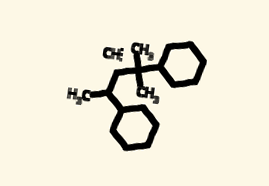 CC(CC(C)(C)C1CCCCC1)C1CCCCC1.[CH]